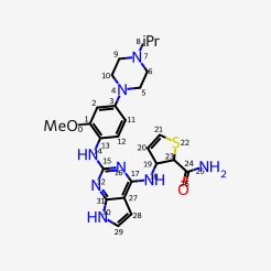 COc1cc(N2CCN(C(C)C)CC2)ccc1Nc1nc(NC2C=CSC2C(N)=O)c2cc[nH]c2n1